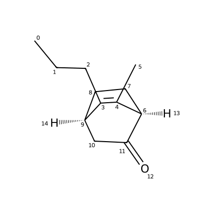 CCCC1=C(C)[C@H]2CC[C@@H]1CC2=O